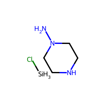 NN1CCNCC1.[SiH3]Cl